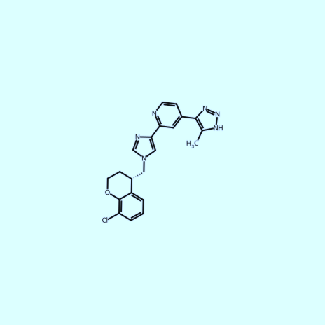 Cc1[nH]nnc1-c1ccnc(-c2cn(C[C@H]3CCOc4c(Cl)cccc43)cn2)c1